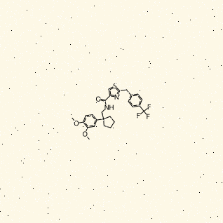 COc1ccc(C2(CNC(=O)c3csc(Cc4ccc(C(F)(F)F)cc4)n3)CCCC2)cc1OC